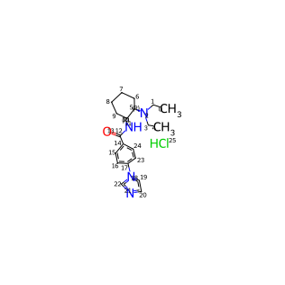 CCN(CC)[C@@H]1CCCC[C@H]1NC(=O)c1ccc(-n2ccnc2)cc1.Cl